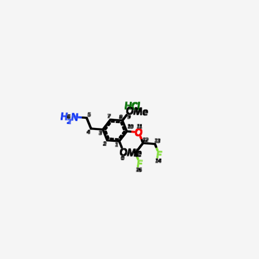 COc1cc(CCN)cc(OC)c1OC(CF)CF.Cl